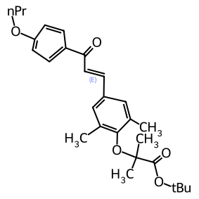 CCCOc1ccc(C(=O)/C=C/c2cc(C)c(OC(C)(C)C(=O)OC(C)(C)C)c(C)c2)cc1